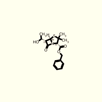 CC(O)[C@H]1C(=O)N2[C@@H]1SC(C)(C)[C@@H]2C(=O)OCc1ccccc1